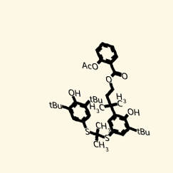 CC(=O)Oc1ccccc1C(=O)OCCC(C)(C)c1cc(SC(C)(C)Sc2cc(C(C)(C)C)c(O)c(C(C)(C)C)c2)cc(C(C)(C)C)c1O